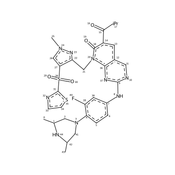 CC1CN(c2ccc(Nc3ncc4cc(C(=O)C(C)C)c(=O)n(Cc5nn(C)cc5S(=O)(=O)c5nccs5)c4n3)cc2F)CC(C)N1